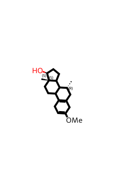 COC1=CCC2=C(C1)C[C@@H](C)C1C2CC[C@@]2(C)C1CC[C@@H]2O